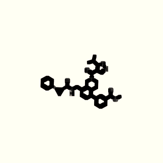 COC(=O)c1cccc(-c2ccc(CNC(=O)[C@H]3C[C@@H]3c3ccccc3)c3c2CCN(C(=O)c2cnoc2C(C)C)C3)c1